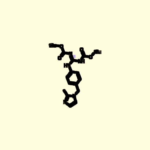 Cc1nccn1Cc1ccc(N/C(=N\C(=O)OC(C)(C)C)NC(=O)OC(C)(C)C)cc1